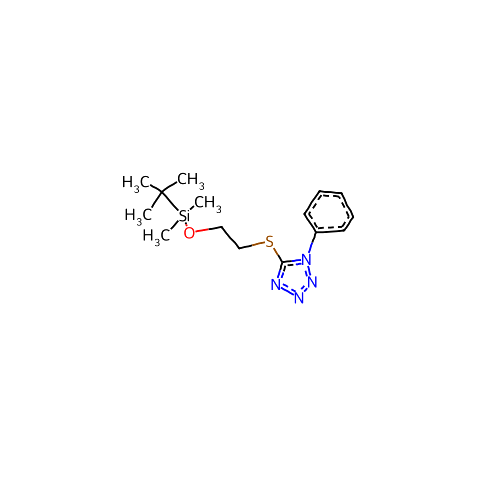 CC(C)(C)[Si](C)(C)OCCSc1nnnn1-c1ccccc1